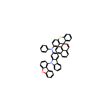 c1ccc(N(c2ccc3c(c2)C2(c4ccccc4S3)c3ccccc3-c3cccc4cccc2c34)c2ccc3c4ccccc4n(-c4cccc5oc6ccccc6c45)c3c2)cc1